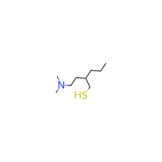 CCCC(CS)CCN(C)C